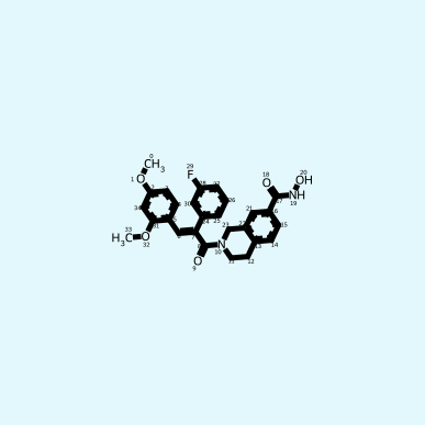 COc1ccc(/C=C(/C(=O)N2CCc3ccc(C(=O)NO)cc3C2)c2cccc(F)c2)c(OC)c1